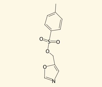 Cc1ccc(S(=O)(=O)OCc2cnco2)cc1